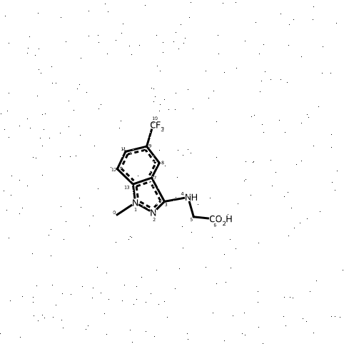 Cn1nc(NCC(=O)O)c2cc(C(F)(F)F)ccc21